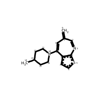 C=C1C=Nc2sccc2C(N2CCC(C)CC2)=C1